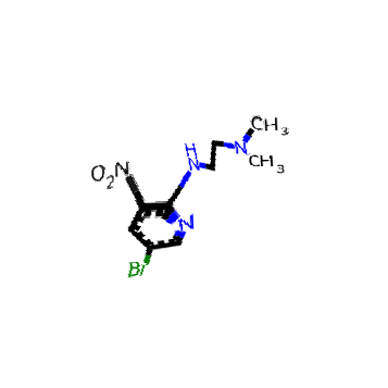 CN(C)CCNc1ncc(Br)cc1[N+](=O)[O-]